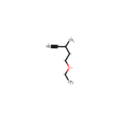 C#CC(C)CCOC[CH2]